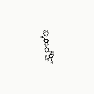 C=CC(=O)Nc1ccc2c(c1)CN([C@H]1CCC[C@@H](Nc3cc(C(F)(F)F)c(C#N)cn3)C1)C2